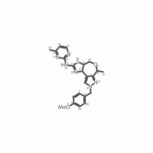 COc1ccc(Cn2cc3c(n2)C(C)OCC2SC(Nc4nccc(C)n4)=NC32)cc1